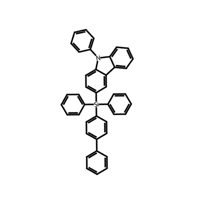 c1ccc(-c2ccc([Si](c3ccccc3)(c3ccccc3)c3ccc4c(c3)c3ccccc3n4-c3ccccc3)cc2)cc1